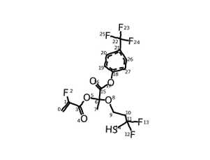 C=C(F)C(=O)OC(C)(OCCC(F)(F)S)C(=O)Oc1ccc(C(F)(F)F)cc1